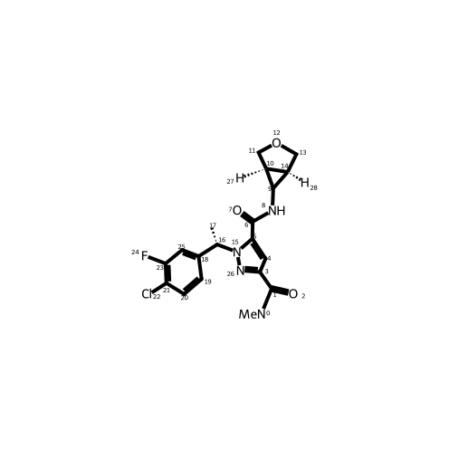 CNC(=O)c1cc(C(=O)NC2[C@H]3COC[C@@H]23)n([C@@H](C)c2ccc(Cl)c(F)c2)n1